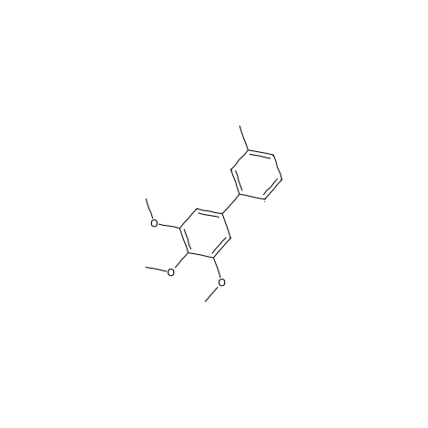 COc1cc(-c2[c]ccc(C)c2)cc(OC)c1OC